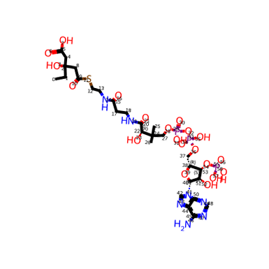 CCC(O)(CC(=O)O)CC(=O)SCCNC(=O)CCNC(=O)[C@H](O)C(C)(C)COP(=O)(O)OP(=O)(O)OC[C@H]1O[C@@H](n2cnc3c(N)ncnc32)[C@H](O)[C@@H]1OP(=O)(O)O